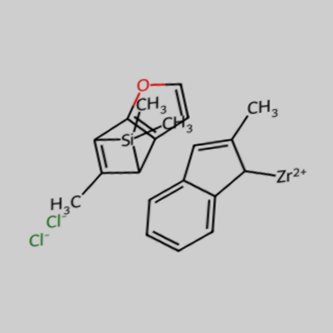 CC1=C2c3occc3C1[Si]2(C)C.CC1=Cc2ccccc2[CH]1[Zr+2].[Cl-].[Cl-]